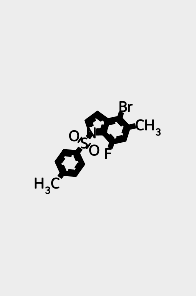 Cc1ccc(S(=O)(=O)n2ccc3c(Br)c(C)cc(F)c32)cc1